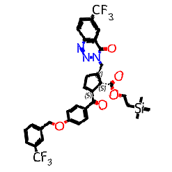 C[Si](C)(C)CCOC(=O)[C@H]1[C@H](Cn2nnc3ccc(C(F)(F)F)cc3c2=O)CC[C@@H]1C(=O)c1ccc(OCc2cccc(C(F)(F)F)c2)cc1